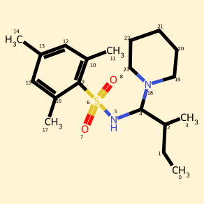 CCC(C)C(NS(=O)(=O)c1c(C)cc(C)cc1C)N1CCCCC1